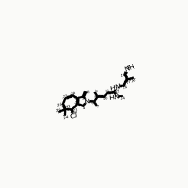 C=C1C2=C(CN1C(C)/C(C)=C/C=C(\NC)N/C=C(/C)C=N)C(Cl)C(C)(C)CC=C2